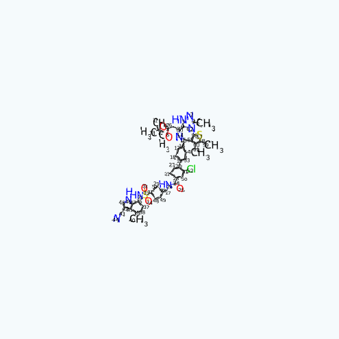 CC1=NNC2[C@H](CC(=O)OC(C)(C)C)N=C(c3ccc(-c4ccc(C(=O)NCc5ccc(S(=O)(=O)Nc6ccc(C)c7c(C#N)c[nH]c67)cc5)cc4Cl)cc3)c3c(sc(C)c3C)N12